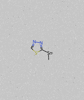 [CH3][Sn][c]1nncs1